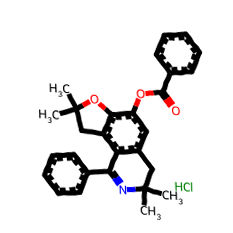 CC1(C)Cc2cc(OC(=O)c3ccccc3)c3c(c2C(c2ccccc2)=N1)CC(C)(C)O3.Cl